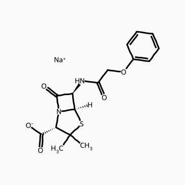 CC1(C)S[C@@H]2[C@H](NC(=O)COc3ccccc3)C(=O)N2[C@H]1C(=O)[O-].[Na+]